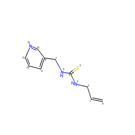 C=CCNC(=S)NCc1cccnc1